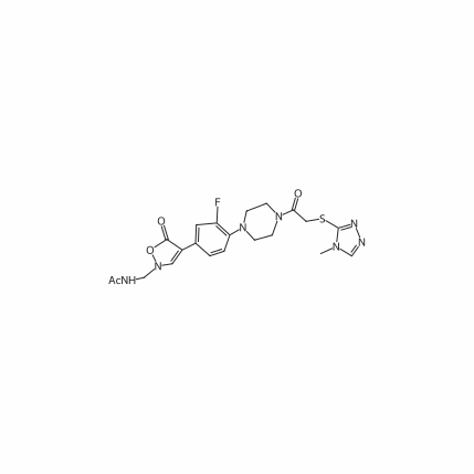 CC(=O)NCn1cc(-c2ccc(N3CCN(C(=O)CSc4nncn4C)CC3)c(F)c2)c(=O)o1